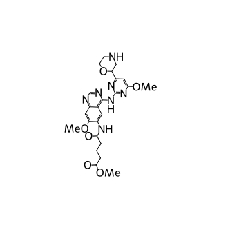 COC(=O)CCCC(=O)Nc1cc2c(Nc3nc(OC)cc(C4CNCCO4)n3)ncnc2cc1OC